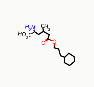 CC(CC(=O)OCCCC1CCCCC1)C[C@H](N)C(=O)O